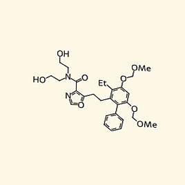 CCc1c(OCOC)cc(OCOC)c(-c2ccccc2)c1CCc1ocnc1C(=O)N(CCO)CCO